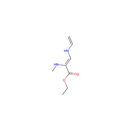 C=CN/C=C(\NC)C(=O)OCC